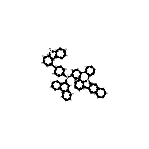 c1ccc(-n2c3ccccc3c3cc4ccccc4cc32)c(-c2ccc(N(c3ccc(-c4cccc5sc6ccccc6c45)cc3)c3cc4ccccc4c4ccccc34)cc2)c1